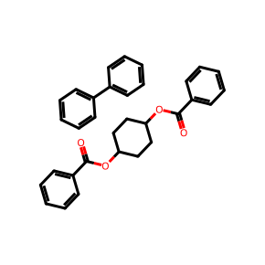 O=C(OC1CCC(OC(=O)c2ccccc2)CC1)c1ccccc1.c1ccc(-c2ccccc2)cc1